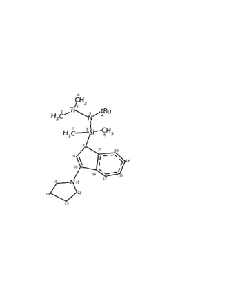 [CH3][Ti]([CH3])[N](C(C)(C)C)[Si](C)(C)C1C=C(N2CCCC2)c2ccccc21